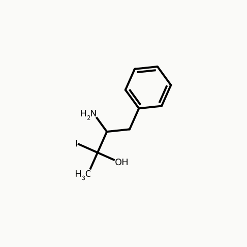 CC(O)(I)C(N)Cc1ccccc1